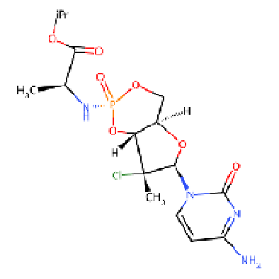 CC(C)OC(=O)[C@H](C)N[P@]1(=O)OC[C@H]2O[C@@H](n3ccc(N)nc3=O)[C@](C)(Cl)[C@@H]2O1